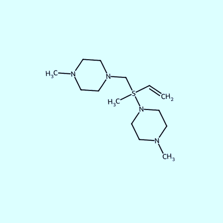 C=CS(C)(CN1CCN(C)CC1)N1CCN(C)CC1